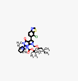 Cn1c(N2[C@H]3CC[C@@H]2[C@H](NC(=O)OC(C)(C)C)C3)nc2c(c(-c3ccc4ncsc4c3Cl)cn2COCC[Si](C)(C)C)c1=O